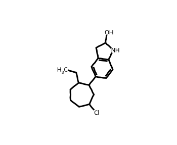 CCC1CCCC(Cl)CC1c1ccc2c(c1)CC(O)N2